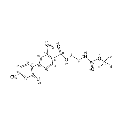 CC(C)(C)OC(=O)NCCOC(=O)c1ccc(-c2ccc(Cl)cc2Cl)cc1N